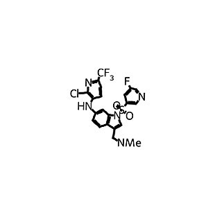 CNCc1cn(S(=O)(=O)c2cncc(F)c2)c2cc(Nc3ccc(C(F)(F)F)nc3Cl)ccc12